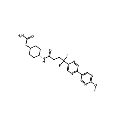 COc1ncc(-c2cnc(C(F)(F)CCC(=O)N[C@H]3CC[C@H](OC(N)=O)CC3)cn2)cn1